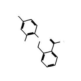 O=C(O)c1ccccc1COc1ccc(Cl)cc1Cl